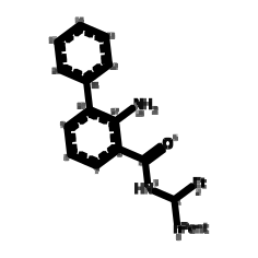 CCCCCC(CC)NC(=O)c1cccc(-c2ccccc2)c1N